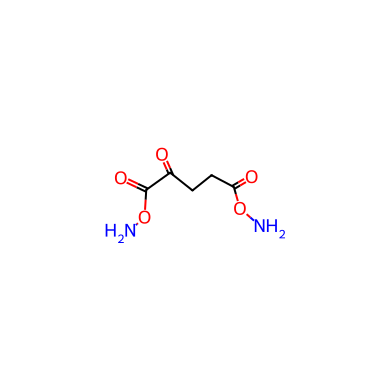 NOC(=O)CCC(=O)C(=O)ON